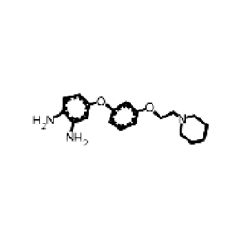 Nc1ccc(Oc2cccc(OCCN3CCCCC3)c2)cc1N